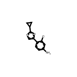 Nc1ccc(-c2csc(C3CC3)n2)c(Cl)c1